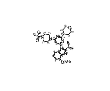 COc1cccc2c1nc(C(F)F)n2-c1nc(C2CCOCC2)nc(N2CCN(S(C)(=O)=O)CC2)n1